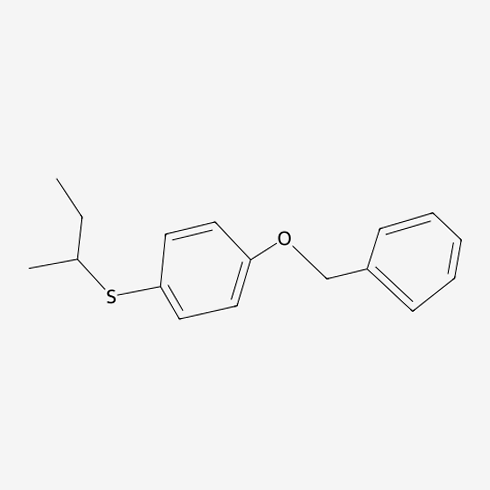 CCC(C)Sc1ccc(OCc2ccccc2)cc1